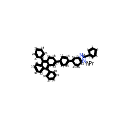 CCCn1c(-c2ccccc2)nc2cc(-c3ccc(-c4ccc5c(-c6ccccc6)c6ccccc6c(-c6ccccc6)c5c4)cc3)ccc21